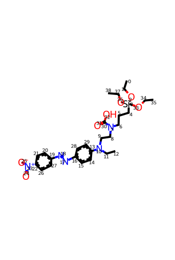 CCO[Si](CCCN(CCN(CC)c1ccc(N=Nc2ccc([N+](=O)[O-])cc2)cc1)C(=O)O)(OCC)OCC